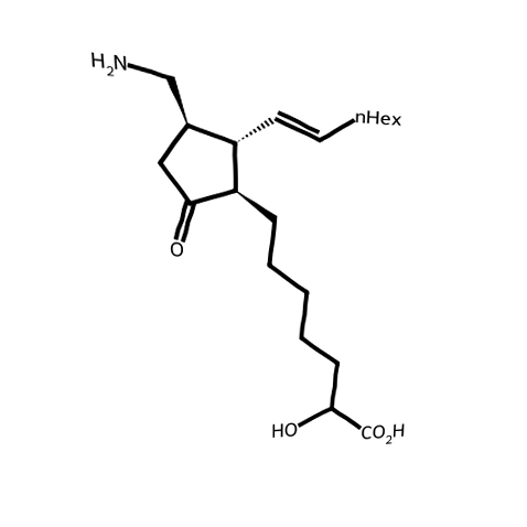 CCCCCCC=C[C@H]1[C@H](CN)CC(=O)[C@@H]1CCCCCC(O)C(=O)O